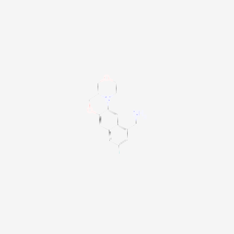 C[C@@H](N)c1cc(F)cc2cc3c(cc12)N1CCOCC1CO3